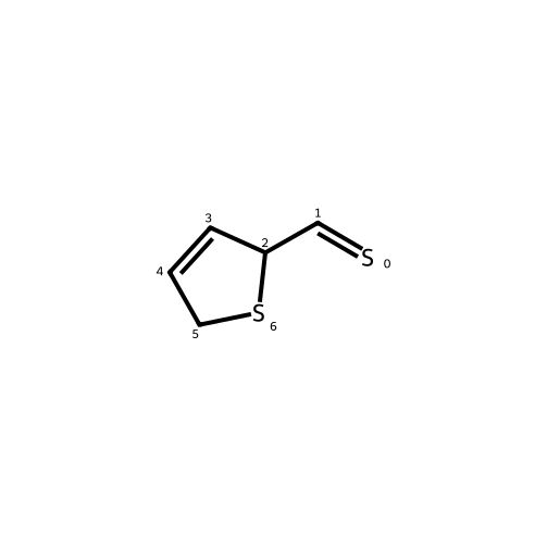 S=CC1C=CCS1